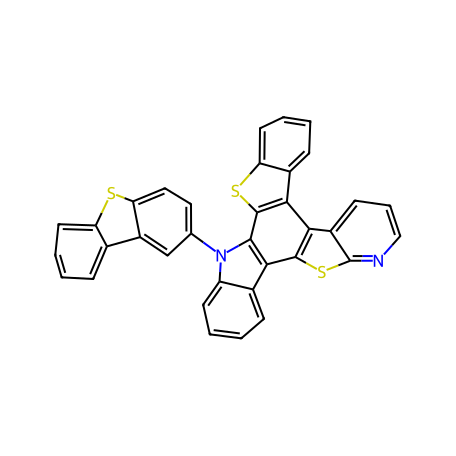 c1ccc2c(c1)sc1ccc(-n3c4ccccc4c4c5sc6ncccc6c5c5c6ccccc6sc5c43)cc12